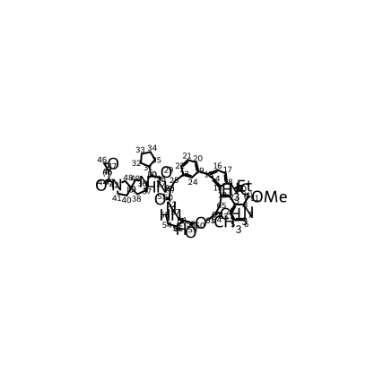 CCn1c(-c2cccnc2[C@H](C)OC)c2c3cc(ccc31)-c1cccc(c1)C[C@H](NC(=O)[C@H](C1CCCC1)N1CC[C@]3(CCN(C(=O)[C@H]4CO4)C3)C1)C(=O)N1CCC[C@H](N1)C(=O)OCC(C)(C)C2